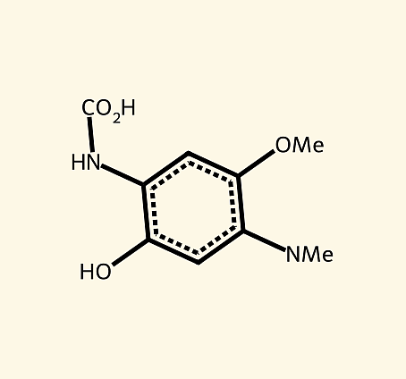 CNc1cc(O)c(NC(=O)O)cc1OC